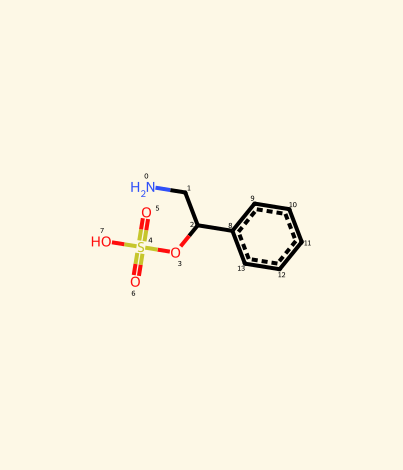 NCC(OS(=O)(=O)O)c1ccccc1